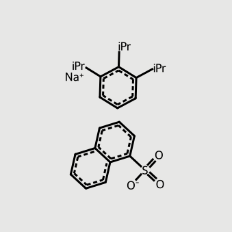 CC(C)c1cccc(C(C)C)c1C(C)C.O=S(=O)([O-])c1cccc2ccccc12.[Na+]